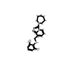 Clc1cccc(Cl)c1SCc1cccn2c(N3CCCCCC3)nnc12